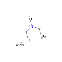 CCN(CCNC)CC(C)(C)C